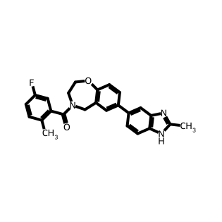 Cc1nc2cc(-c3ccc4c(c3)CN(C(=O)c3cc(F)ccc3C)CCO4)ccc2[nH]1